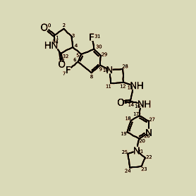 O=C1CCC(c2c(F)cc(N3CC(NC(=O)Nc4ccc(N5CCCC5)nc4)C3)cc2F)C(=O)N1